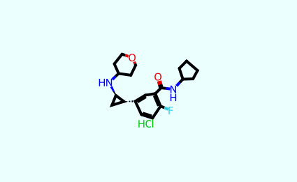 Cl.O=C(NC1CCCC1)c1cc([C@@H]2C[C@H]2NC2CCOCC2)ccc1F